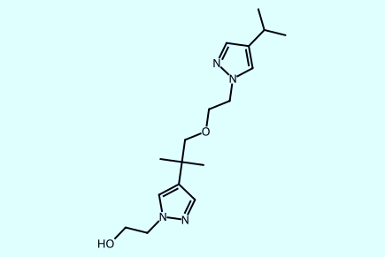 CC(C)c1cnn(CCOCC(C)(C)c2cnn(CCO)c2)c1